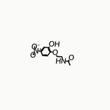 CC(=O)NCCOc1ccc([N+](=O)[O-])cc1O